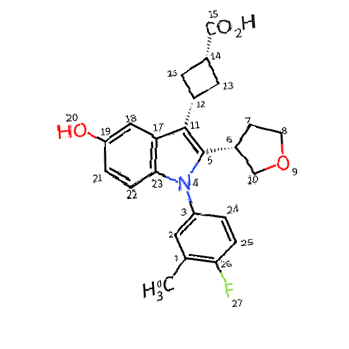 Cc1cc(-n2c([C@@H]3CCOC3)c([C@H]3C[C@@H](C(=O)O)C3)c3cc(O)ccc32)ccc1F